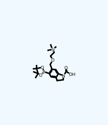 CC1(C)OB(c2cc3c(cc2COCC[Si](C)(C)C)N(C(=O)O)CC3)OC1(C)C